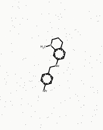 CCCc1ccc(CNc2ccc3c(c2)N(C)CCC3)cc1